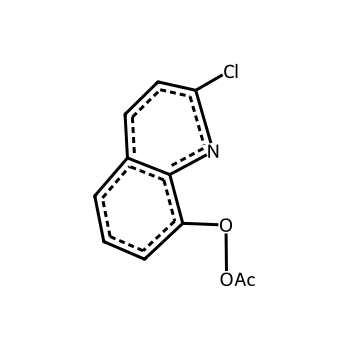 CC(=O)OOc1cccc2ccc(Cl)nc12